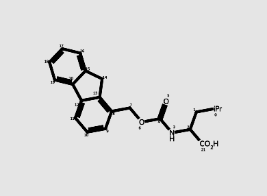 CC(C)CC(NC(=O)OCc1cccc2c1Cc1ccccc1-2)C(=O)O